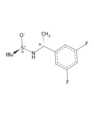 C[C@@H](N[S@+]([O-])C(C)(C)C)c1cc(F)cc(F)c1